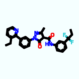 CCc1cccnc1-c1cccc(N2N=C(C)C(C(=O)Nc3cccc(C(F)(F)CC)c3)C2=O)c1